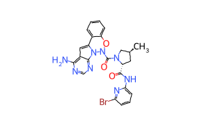 C[C@H]1C[C@H](C(=O)Nc2cccc(Br)n2)N(C(=O)N2Oc3ccccc3-c3cc4c(N)ncnc4n32)C1